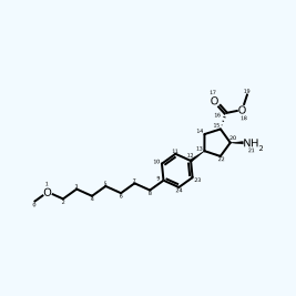 COCCCCCCCc1ccc([C@H]2C[C@H](C(=O)OC)[C@@H](N)C2)cc1